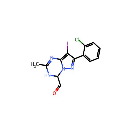 CC1=Nc2c(I)c(-c3ccccc3Cl)nn2C(C=O)N1